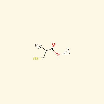 CC(CS)C(=O)OC1CC1